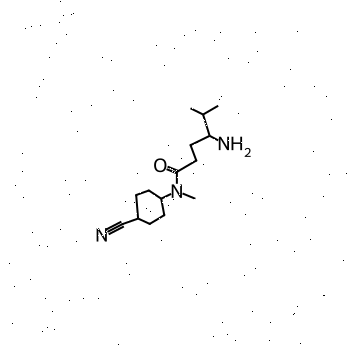 CC(C)C(N)CCC(=O)N(C)C1CCC(C#N)CC1